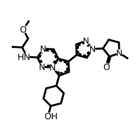 COCC(C)Nc1ncc2c(-c3cnn(C4CCN(C)C4=O)c3)cc(C3CCC(O)CC3)n2n1